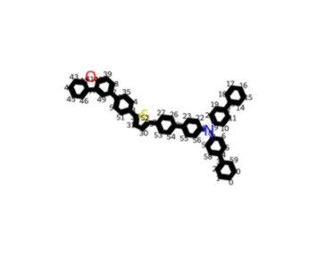 c1ccc(-c2ccc(N(c3ccc(-c4ccccc4)cc3)c3ccc(-c4ccc(-c5ccc(-c6ccc(-c7ccc8oc9ccccc9c8c7)cc6)s5)cc4)cc3)cc2)cc1